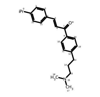 CC(C)c1ccc(C=CC(=O)c2ccc(CCCN(C)C)cc2)cc1